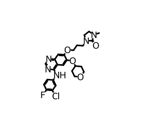 CN1CCN(CCCOc2cc3ncnc(Nc4ccc(F)c(Cl)c4)c3cc2OC2CCOCC2)C1=O